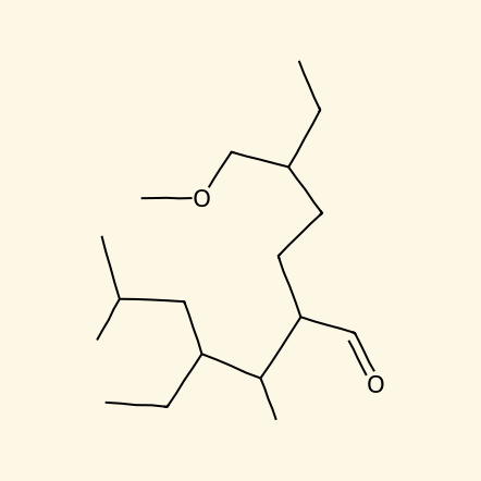 CCC(CCC(C=O)C(C)C(CC)CC(C)C)COC